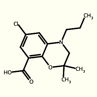 CCCN1CC(C)(C)Oc2c(C(=O)O)cc(Cl)cc21